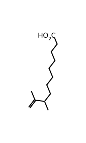 C=C(C)C(C)CCCCCCCC(=O)O